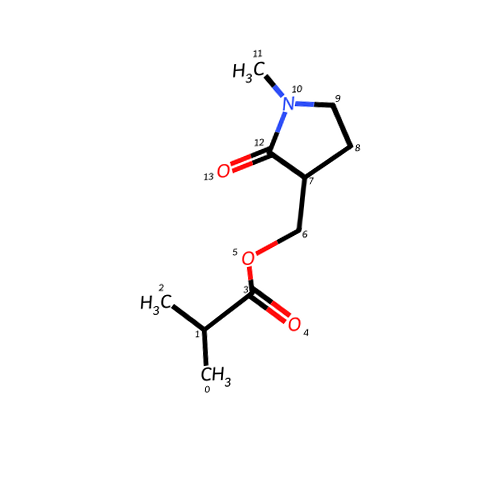 CC(C)C(=O)OCC1CCN(C)C1=O